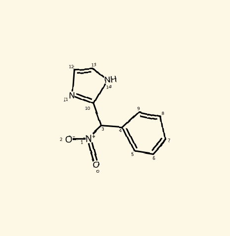 O=[N+]([O-])C(c1ccccc1)c1ncc[nH]1